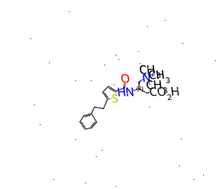 C[N+](C)(C)C[C@@H](CC(=O)O)NC(=O)c1ccc(CCc2ccccc2)s1